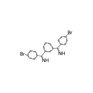 N=C(c1ccc(Br)cc1)c1cccc(C(=N)c2ccc(Br)cc2)c1